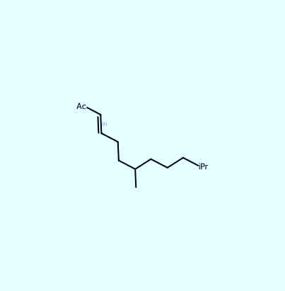 CC(=O)/C=C/CCC(C)CCCC(C)C